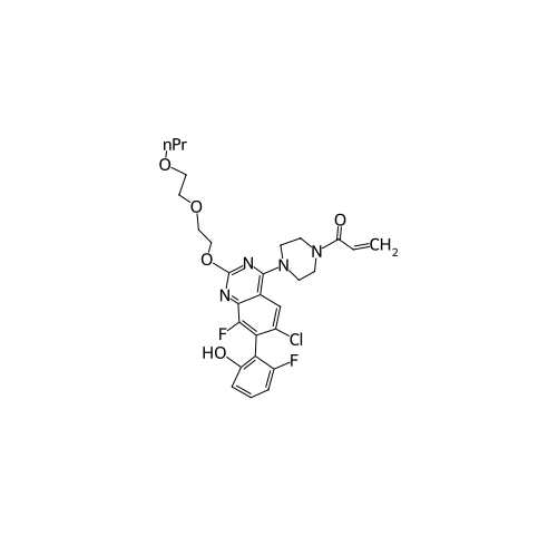 C=CC(=O)N1CCN(c2nc(OCCOCCOCCC)nc3c(F)c(-c4c(O)cccc4F)c(Cl)cc23)CC1